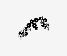 COC(=O)N[C@H](C(=O)N1CCC[C@H]1c1ncc(-c2ccc(C3CCC(c4ccc(-c5cnc([C@@H]6CCCN6C(=O)[C@@H](NC(=O)O)C(C)C)[nH]5)cc4)C3c3ccc(C(C)(C)C)cc3)cc2)[nH]1)C(C)C